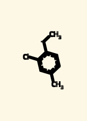 C[CH]c1ccc(C)cc1Cl